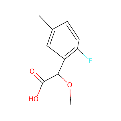 COC(C(=O)O)c1cc(C)ccc1F